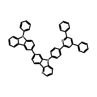 c1ccc(-c2cc(-c3ccccc3)nc(-c3ccc(-n4c5cc(-c6ccc7c(c6)c6ccccc6n7-c6ccccc6)ccc5c5ncccc54)cc3)c2)cc1